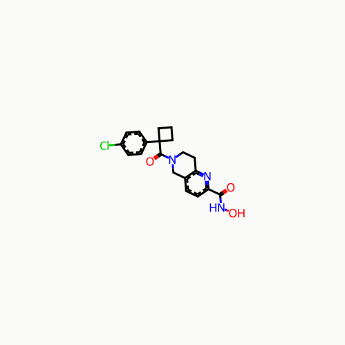 O=C(NO)c1ccc2c(n1)CCN(C(=O)C1(c3ccc(Cl)cc3)CCC1)C2